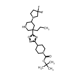 CCCC1(c2nc(C3CCN(C(=O)OC(C)(C)C)CC3)no2)CNCC(N2CCC(F)(F)C2)C1